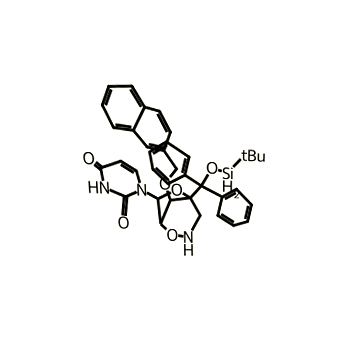 CC(C)(C)[SiH2]OC(c1ccccc1)(c1ccccc1)C12CNOC(C(n3ccc(=O)[nH]c3=O)O1)C2OCc1ccc2ccccc2c1